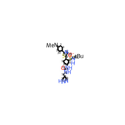 CNc1ccc(-c2ncc(-c3ccc(NC(=O)NCc4cn[nH]c4)cc3[S+]([O-])NC(C)(C)C)s2)cc1